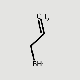 [BH]CC=C